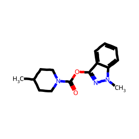 CC1CCN(C(=O)Oc2nn(C)c3ccccc23)CC1